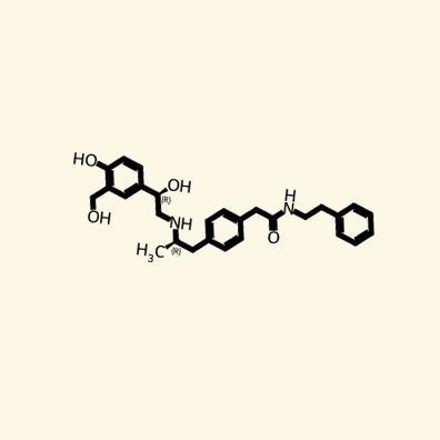 C[C@H](Cc1ccc(CC(=O)NCCc2ccccc2)cc1)NC[C@H](O)c1ccc(O)c(CO)c1